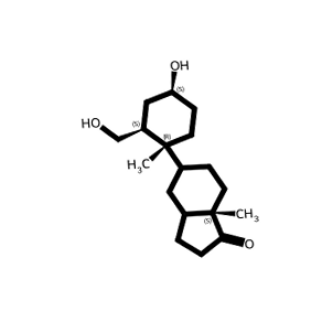 C[C@]12CCC([C@@]3(C)CC[C@H](O)C[C@@H]3CO)CC1CCC2=O